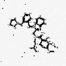 COc1ccc(C(=O)N(CCC(C)C)Cc2nc3ccccc3n2Cc2ccccc2CN2CCCC2)c(Cl)c1OC